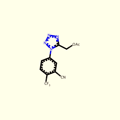 CC(=O)OCc1nnnn1-c1ccc(C(F)(F)F)c(C#N)c1